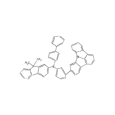 CC1(C)c2ccccc2-c2ccc(N(c3ccc(-c4ccccc4)cc3)c3cccc(-c4ccc5c6cccc7c8ccccc8n(c5c4)c76)c3)cc21